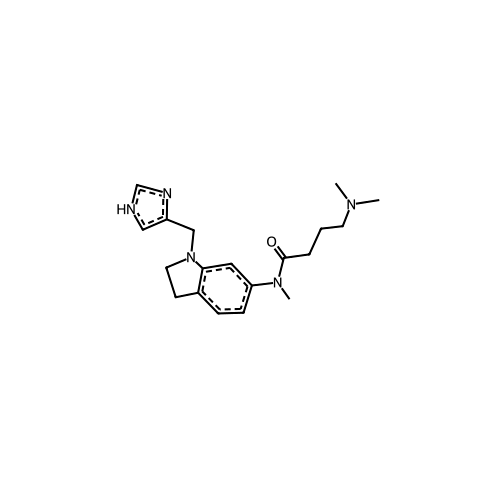 CN(C)CCCC(=O)N(C)c1ccc2c(c1)N(Cc1c[nH]cn1)CC2